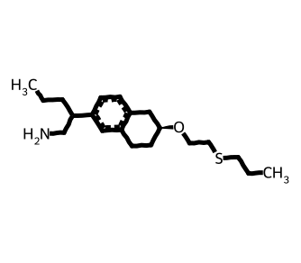 CCCSCCO[C@H]1CCc2cc(C(CN)CCC)ccc2C1